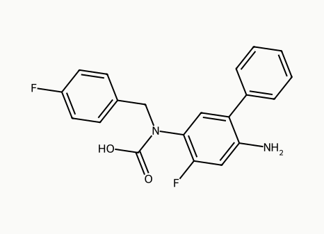 Nc1cc(F)c(N(Cc2ccc(F)cc2)C(=O)O)cc1-c1ccccc1